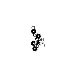 O=c1c(C(F)(F)F)c(O)[n+](Cc2ccccc2Oc2ccc(Cl)cc2)c2cccc(-c3ccccc3)n12